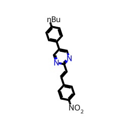 CCCCc1ccc(-c2cnc(C=Cc3ccc([N+](=O)[O-])cc3)nc2)cc1